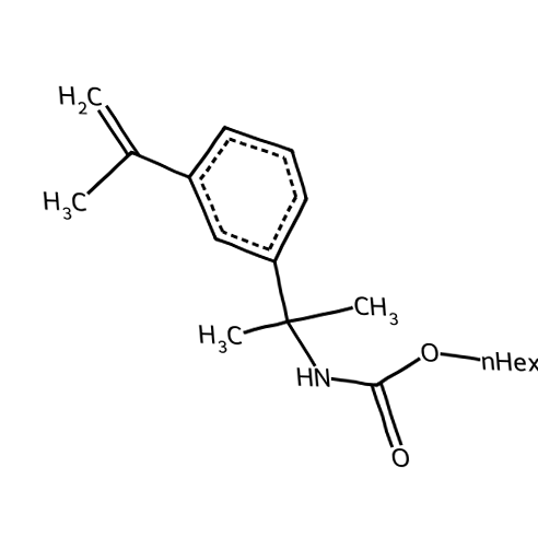 C=C(C)c1cccc(C(C)(C)NC(=O)OCCCCCC)c1